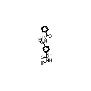 CCS/C(=N\NC(=O)c1ccccc1)c1ccc(NC(=S)NC(C)C)cc1